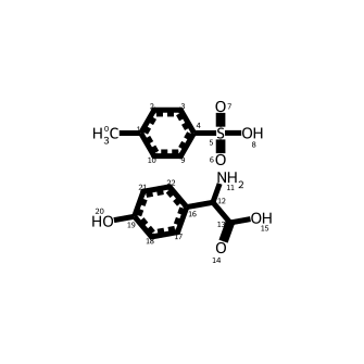 Cc1ccc(S(=O)(=O)O)cc1.NC(C(=O)O)c1ccc(O)cc1